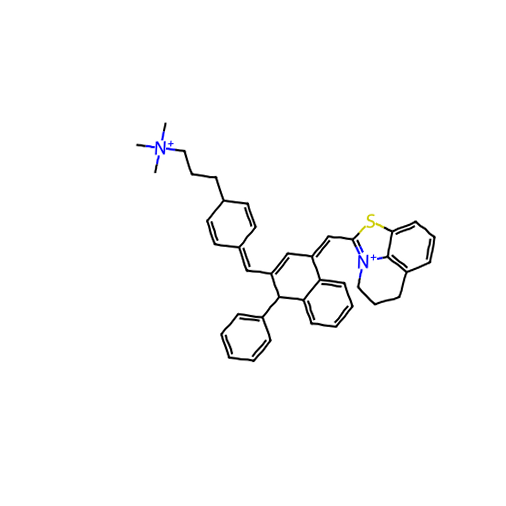 C[N+](C)(C)CCCC1C=CC(=CC2=CC(=Cc3sc4cccc5c4[n+]3CCC5)c3ccccc3C2c2ccccc2)C=C1